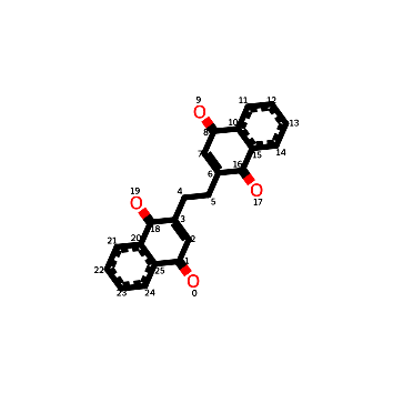 O=C1C=C(CCC2=CC(=O)c3ccccc3C2=O)C(=O)c2ccccc21